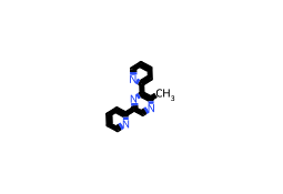 Cc1ncc(-c2ccccn2)nc1-c1ccccn1